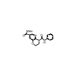 CNC(=O)c1cnc2c(c1)OCCN2C(=O)Nc1ccccc1